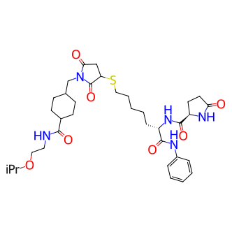 CC(C)OCCNC(=O)C1CCC(CN2C(=O)CC(SCCCCC[C@H](NC(=O)[C@H]3CCC(=O)N3)C(=O)Nc3ccccc3)C2=O)CC1